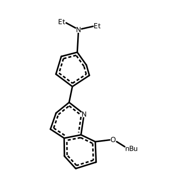 CCCCOc1cccc2ccc(-c3ccc(N(CC)CC)cc3)nc12